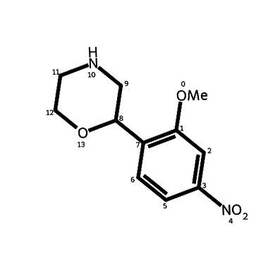 COc1cc([N+](=O)[O-])ccc1C1CNCCO1